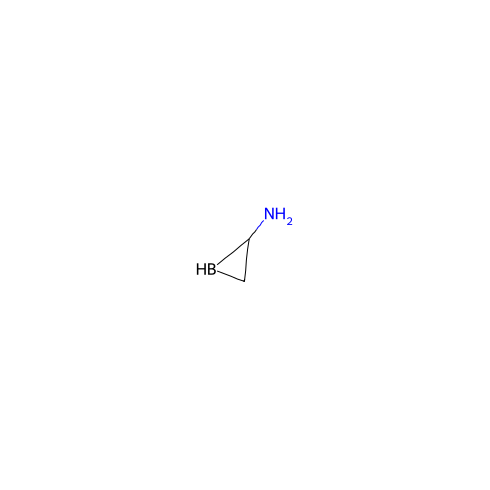 NC1BC1